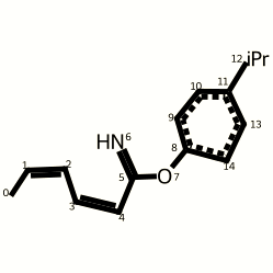 C/C=C\C=C/C(=N)Oc1ccc(C(C)C)cc1